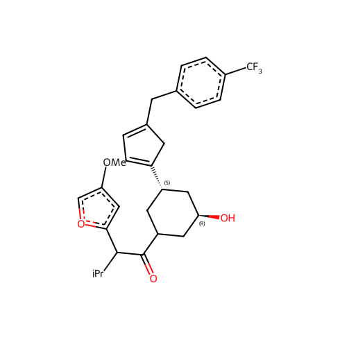 COc1coc(C(C(=O)C2C[C@H](O)C[C@@H](C3=CC=C(Cc4ccc(C(F)(F)F)cc4)C3)C2)C(C)C)c1